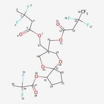 CC(F)(F)CC(=O)OCC1(COC(=O)CC(F)(F)C(F)(F)F)COC2(CCCC2OC(=O)C(C)(F)F)OC1